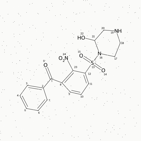 O=C(c1ccccc1)c1cccc(S(=O)(=O)N2CCNCC2O)c1[N+](=O)[O-]